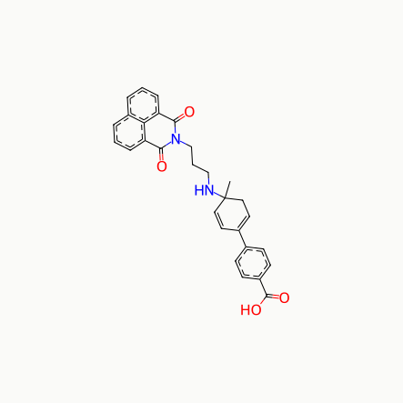 CC1(NCCCN2C(=O)c3cccc4cccc(c34)C2=O)C=CC(c2ccc(C(=O)O)cc2)=CC1